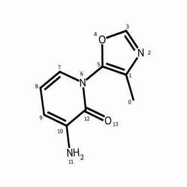 Cc1ncoc1-n1cccc(N)c1=O